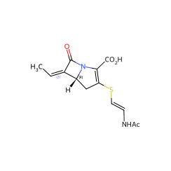 C/C=C1\C(=O)N2C(C(=O)O)=C(SC=CNC(C)=O)C[C@H]12